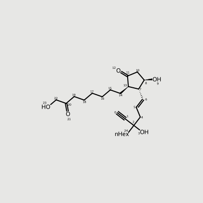 C#CC(O)(CC=C[C@H]1[C@H](O)CC(=O)[C@@H]1CCCCCCC(=O)CO)CCCCCC